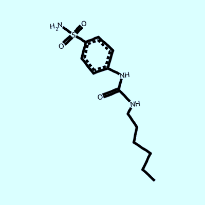 CCCCCCNC(=O)Nc1ccc(S(N)(=O)=O)cc1